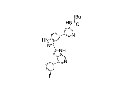 CC(C)(C)C(=O)Nc1cncc(-c2ccc3[nH]nc(-c4cc5c(-c6cccc(F)c6)cncc5[nH]4)c3c2)c1